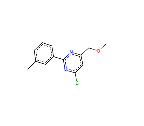 COCc1cc(Cl)nc(-c2cccc(C)c2)n1